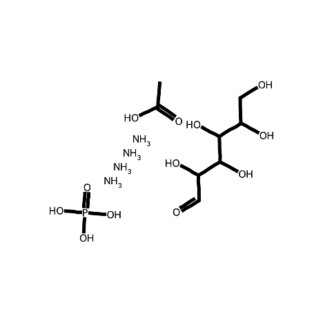 CC(=O)O.N.N.N.N.O=CC(O)C(O)C(O)C(O)CO.O=P(O)(O)O